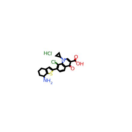 Cl.NC1CCCc2cc(-c3ccc4c(=O)c(C(=O)O)cn(C5CC5)c4c3Cl)sc21